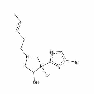 CC=CCCN1CC(O)[N+]([O-])(c2ncc(Br)s2)C1